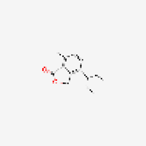 CCC(CC)c1ccc(C)c2c1COC2=O